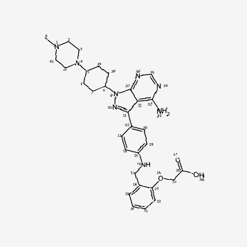 CN1CCN(C2CCC(n3nc(-c4ccc(NCc5ccccc5OCC(=O)O)cc4)c4c(N)ncnc43)CC2)CC1